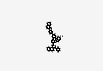 CCC1CC2CC(C)C3(c4ccc(-c5ccc6c(c5)sc5c7ccccc7ccc65)cc4-c4ccc(-c5nc(-c6ccccc6)c6ccc7ccccc7c6n5)cc43)C(C1)C2